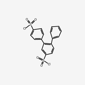 O=S(=O)(Cl)c1ccc(-c2cc(S(=O)(=O)Cl)ccc2-c2ccccc2)cc1